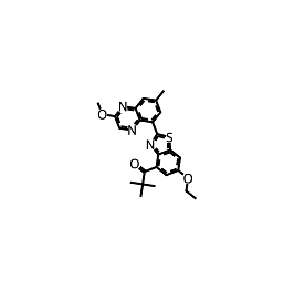 CCOc1cc(C(=O)C(C)(C)C)c2nc(-c3cc(C)cc4nc(OC)cnc34)sc2c1